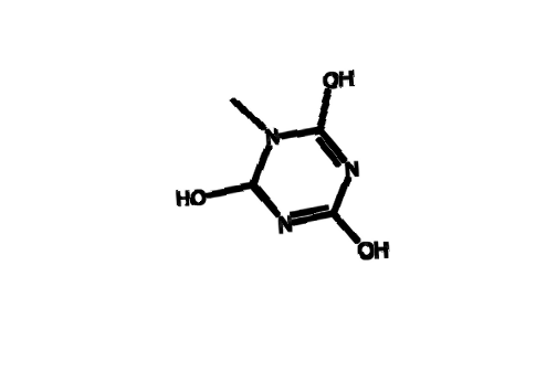 CN1C(O)=NC(O)=NC1O